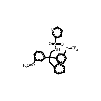 O=S(=O)(NCC(Cc1ccccc1)(c1cccc(OC(F)(F)F)c1)c1cccc(OC(F)(F)F)c1)c1cccnc1